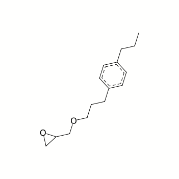 CCCc1ccc(CCCOCC2CO2)cc1